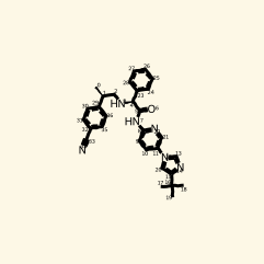 C[C@@H](CN[C@H](C(=O)Nc1ccc(-n2cnc(C(C)(C)C)c2)cn1)c1ccccc1)c1ccc(C#N)cc1